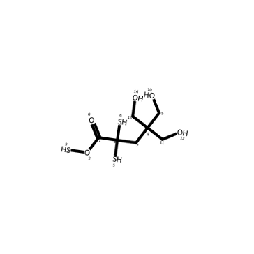 O=C(OS)C(S)(S)CC(CO)(CO)CO